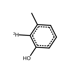 [2H]c1c(C)cccc1O